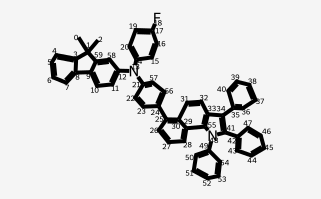 CC1(C)c2ccccc2-c2ccc(N(c3ccc(F)cc3)c3ccc(-c4cccc5c4ccc4c(-c6ccccc6)c(-c6ccccc6)n(-c6ccccc6)c45)cc3)cc21